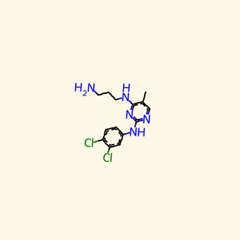 Cc1cnc(Nc2ccc(Cl)c(Cl)c2)nc1NCCCN